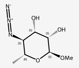 CO[C@H]1O[C@H](C)[C@@H](N=[N+]=[N-])[C@H](O)[C@@H]1O